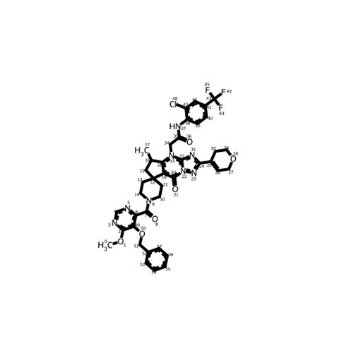 COc1ncnc(C(=O)N2CCC3(CC2)CC(C)c2c3c(=O)n3nc(C4=CCOCC4)nc3n2CC(=O)Nc2ccc(C(F)(F)F)cc2Cl)c1OCc1ccccc1